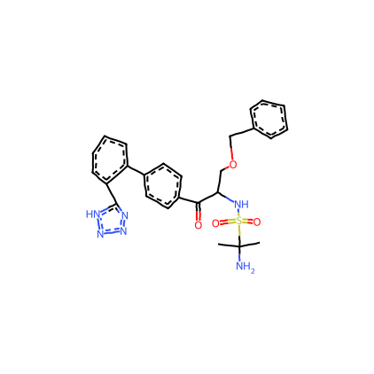 CC(C)(N)S(=O)(=O)NC(COCc1ccccc1)C(=O)c1ccc(-c2ccccc2-c2nnn[nH]2)cc1